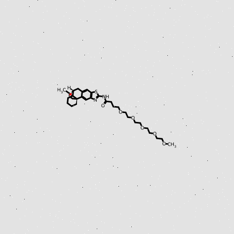 COCCOCCOCCOCCOCCCC(=O)Nc1nc2cc3c(cc2s1)C[C@@H]1[C@@H]2CCCC[C@]32CCN1C